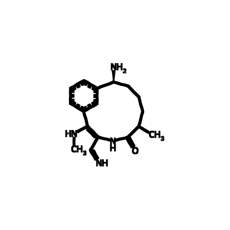 CN/C1=C(\C=N)NC(=O)C(C)CCC[C@H](N)c2cccc1c2